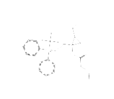 COCC(=O)OC1(CO[Si](c2ccccc2)(c2ccccc2)C(C)(C)C)CC1CO